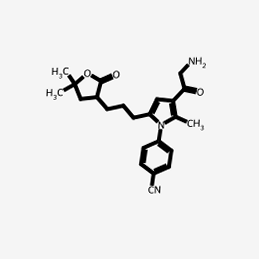 Cc1c(C(=O)CN)cc(CCCC2CC(C)(C)OC2=O)n1-c1ccc(C#N)cc1